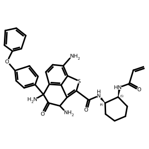 C=CC(=O)N[C@H]1CCCC[C@H]1NC(=O)c1sc2c(N)ccc3c2c1C(N)C(=O)C3(N)c1ccc(Oc2ccccc2)cc1